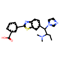 CCC(C(c1ccc2nc(-c3cccc(C(=O)O)c3)sc2c1)n1ccnc1)N(C)C